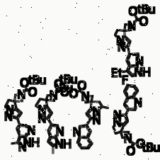 CC(C)(C)OC(=O)N1CC2(CCn3nc(-c4cnc5ccc(F)cc5c4)cc32)C1.CC1CC2(CN(C(=O)OC(C)(C)C)C2)c2cc(-c3cnc4ccccc4c3)nn21.CCc1c[nH]c2ncc(-c3cc4n(n3)CCC43CN(C(=O)OC(C)(C)C)C3)cc12.Cc1cc2cc(-c3cc4n(n3)CCC43CN(C(=O)OC(C)(C)C)C3)cnc2[nH]1.Cc1n[nH]c2ncc(-c3cc4n(n3)CCC43CN(C(=O)OC(C)(C)C)C3)cc12